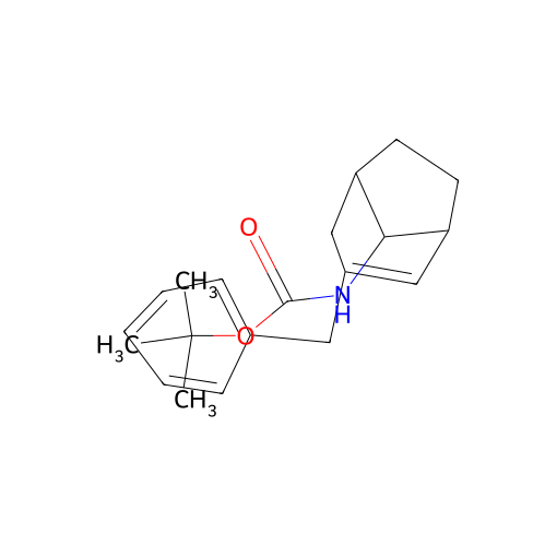 CC(C)(C)OC(=O)NC1C2C=C(Cc3ccccc3)CC1CC2